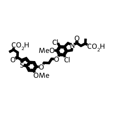 COc1cc2sc(C(=O)CC(C)C(=O)O)cc2cc1OCCCOc1c(Cl)c2c(c(Cl)c1OC)CN(C(=O)CC(C)C(=O)O)C2